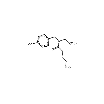 O=C(O)CCCC(=O)N(CC(=O)O)Cc1ccc([N+](=O)[O-])cc1